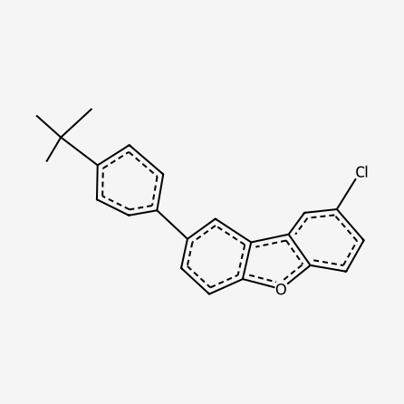 CC(C)(C)c1ccc(-c2ccc3oc4ccc(Cl)cc4c3c2)cc1